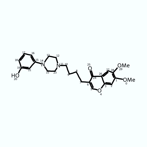 COc1cc2occ(CCCCN3CCN(c4cccc(O)c4)CC3)c(=O)c2cc1OC